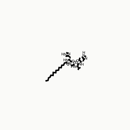 CCCCCCCCCCCCCCCC(=O)N[C@@H](Cc1c[nH]cn1)C(=O)N[C@@H](C)C(=O)N[C@H](C(=O)N[C@@H](Cc1c[nH]cn1)C(C)=O)C(C)C